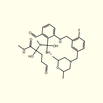 BC(O)(c1c(C=O)cccc1NCc1cc(CN2CC(C)OC(C)C2)ccc1F)N(C)C(O)(CCC=O)C(=O)NC